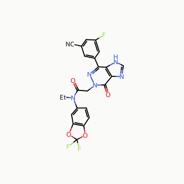 CCN(C(=O)Cn1nc(-c2cc(F)cc(C#N)c2)c2[nH]cnc2c1=O)c1ccc2c(c1)OC(F)(F)O2